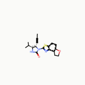 CC#C[C@H]1[C@H](C(C)C)NC(=O)N1c1nc2c3c(ccc2s1)OCC3